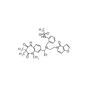 CCC(c1ccc2c(c1)N(C)C(=O)C(C)(C)C(=O)N2)N(CCn1ccc2occc2c1=O)Cc1ccccc1NS(C)(=O)=O